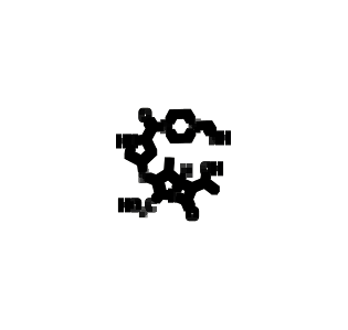 CC(O)C1C(=O)N2C(C(=O)O)=C(SC3CNC(C(=O)N4CCN(C=N)CC4)C3)C(C)[C@@H]12